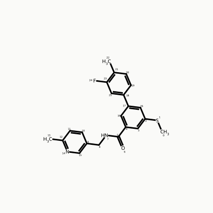 CSc1cc(C(=O)NCc2ccc(C)nc2)cc(-c2ccc(C)c(F)c2)c1